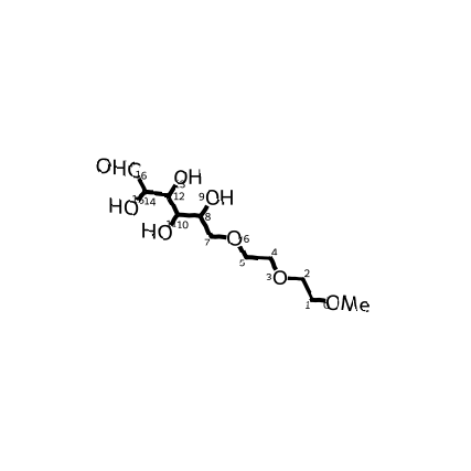 COCCOCCOCC(O)C(O)C(O)C(O)C=O